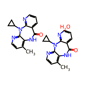 Cc1ccnc2c1NC(=O)c1cccnc1N2C1CC1.Cc1ccnc2c1NC(=O)c1cccnc1N2C1CC1.O